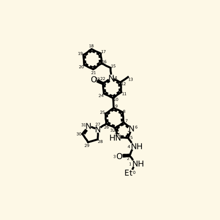 CCNC(=O)Nc1nc2cc(-c3cc(C)n(Cc4ccccc4)c(=O)c3)cc(N3CCC=N3)c2[nH]1